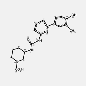 Cc1cc(-c2cncc(NC(=O)NC3CCCN(C(=O)O)C3)n2)ccc1O